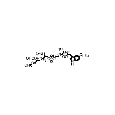 CCCCOc1ccc2[nH]cc(CC(=O)N[C@H](C(=O)NCCOP(=O)(O)OC[C@@H](NC(C)=O)C(=O)NCC(COC=O)OC=O)[C@@H](C)CC)c2c1